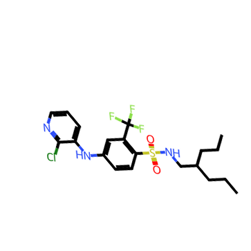 CCCC(CCC)CNS(=O)(=O)c1ccc(Nc2cccnc2Cl)cc1C(F)(F)F